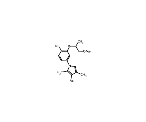 COCC(C)Nc1cc(-n2cc(C)c(C(C)=O)c2C)ccc1C#N